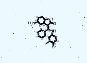 Cc1cc(N/C(=C2\C(=O)Nc3ccc(N)cc32)c2ccccc2)ccc1Br